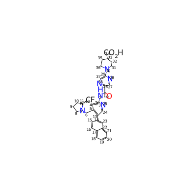 O=C(Nc1cc(CN2CCC[C@H]2C(F)(F)F)c(-c2ccc3ccccc3c2)cn1)c1cnc(N2CCC(C(=O)O)CC2)cn1